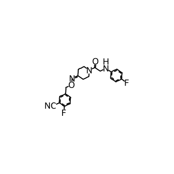 N#Cc1cc(CON=C2CCN(C(=O)CNc3ccc(F)cc3)CC2)ccc1F